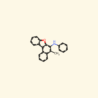 Cc1c(Nc2ccccc2)c2oc3ccccc3c2c2ccccc12